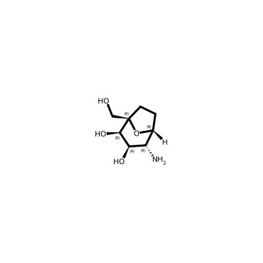 N[C@@H]1[C@@H](O)[C@@H](O)[C@]2(CO)CC[C@H]1O2